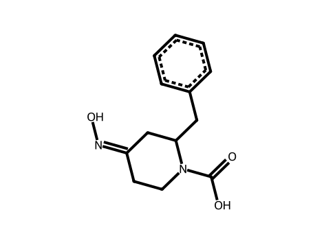 O=C(O)N1CCC(=NO)CC1Cc1ccccc1